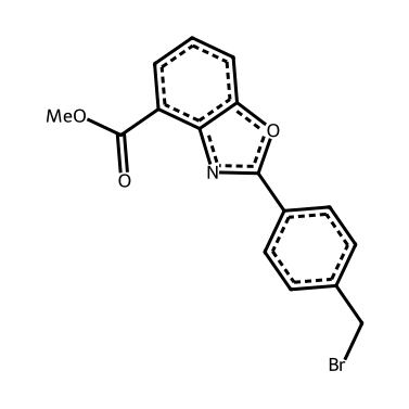 COC(=O)c1cccc2oc(-c3ccc(CBr)cc3)nc12